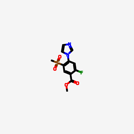 COC(=O)c1cc(S(C)(=O)=O)c(-n2ccnc2)cc1F